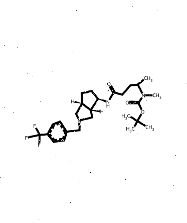 CC(CCC(=O)N[C@@H]1CC[C@H]2CN(Cc3ccc(C(F)(F)F)cc3)C[C@H]21)N(C)C(=O)OC(C)(C)C